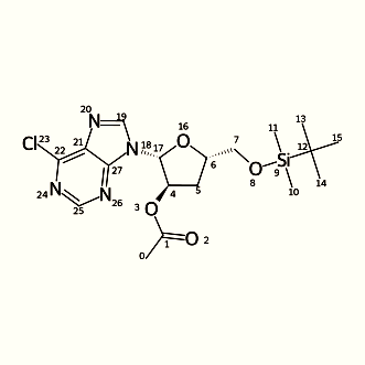 CC(=O)O[C@@H]1C[C@@H](CO[Si](C)(C)C(C)(C)C)O[C@H]1n1cnc2c(Cl)ncnc21